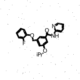 CC(C)Oc1cc(COc2ccccc2F)cc(C(=O)Nc2ccccn2)c1